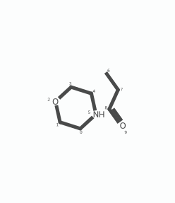 C1COCCN1.CCC=O